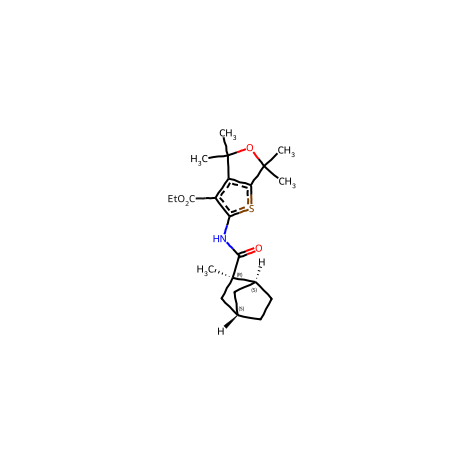 CCOC(=O)c1c(NC(=O)[C@]2(C)C[C@H]3CC[C@H]2C3)sc2c1C(C)(C)OC2(C)C